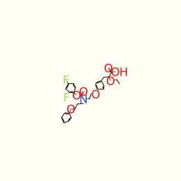 CCOC(Cc1ccc(OCCN(CCCOc2ccccc2)C(=O)Oc2ccc(F)cc2F)cc1)C(=O)O